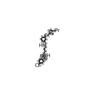 CC(C)c1csc(COc2cccc(CNCCCCNS(=O)(=O)c3ccc(Cl)cc3)c2)n1